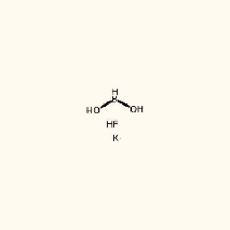 F.OBO.[K]